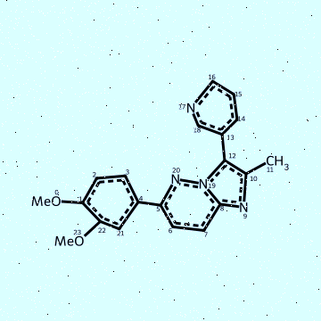 COc1ccc(-c2ccc3nc(C)c(-c4cccnc4)n3n2)cc1OC